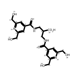 O=C(NCC(CNC(=O)c1cc(CO)nc(CO)c1)C(=O)O)c1cc(CO)nc(CO)c1